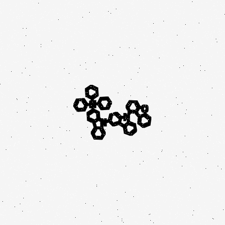 c1ccc([Si](c2ccccc2)(c2ccccc2)c2ccc3c4ccccc4n(-c4ccc5c(c4)c4ccccc4n5-c4cccc5oc6ccccc6c45)c3c2)cc1